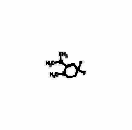 CN(C)C1=CC(F)(F)CCN1C